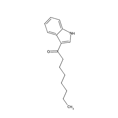 CCCCCCCC(=O)c1c[nH]c2ccccc12